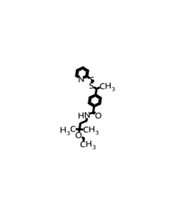 CCOC(C)(C)CCNC(=O)c1ccc(C(C)SSc2ccccn2)cc1